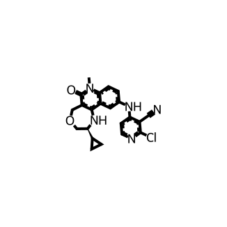 Cn1c(=O)c2c(c3cc(Nc4ccnc(Cl)c4C#N)ccc31)N[C@@H](C1CC1)COC2